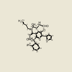 C=CCCN(/C(=N/C)c1cc(Cl)c(-c2ccco2)nc1N(C=O)c1ccccc1C(C)C)C(C)CNC=O